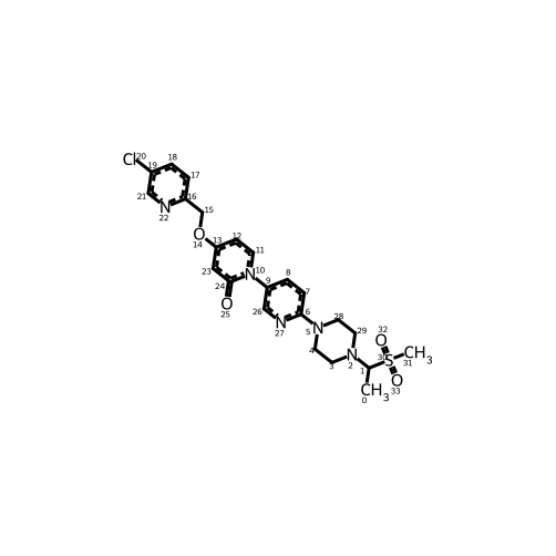 CC(N1CCN(c2ccc(-n3ccc(OCc4ccc(Cl)cn4)cc3=O)cn2)CC1)S(C)(=O)=O